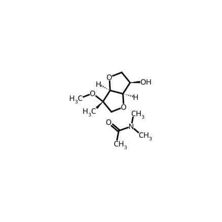 CC(=O)N(C)C.CO[C@@]1(C)CO[C@@H]2[C@H](O)CO[C@@H]21